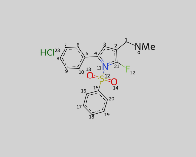 CNCc1cc(-c2ccccc2)n(S(=O)(=O)c2ccccc2)c1F.Cl